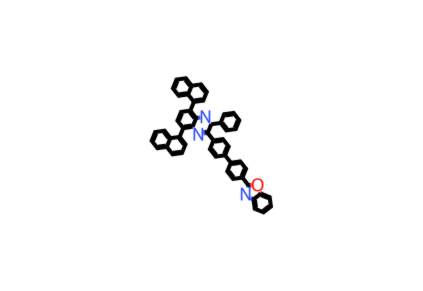 c1ccc(-c2nc3c(-c4cccc5ccccc45)ccc(-c4cccc5ccccc45)c3nc2-c2ccc(-c3ccc(-c4nc5ccccc5o4)cc3)cc2)cc1